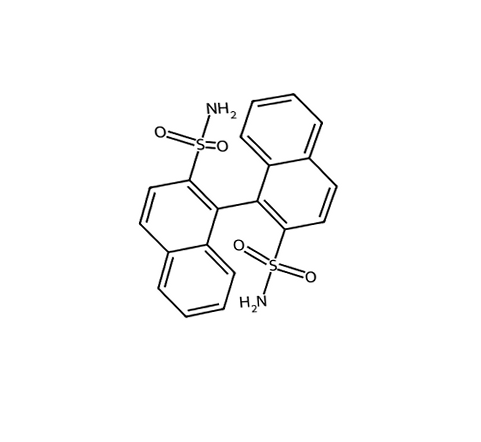 NS(=O)(=O)c1ccc2ccccc2c1-c1c(S(N)(=O)=O)ccc2ccccc12